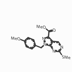 COC(=O)c1nn(Cc2ccc(OC)cc2)c2nc(SC)ncc12